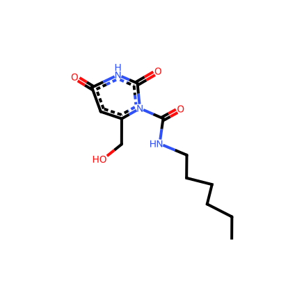 CCCCCCNC(=O)n1c(CO)cc(=O)[nH]c1=O